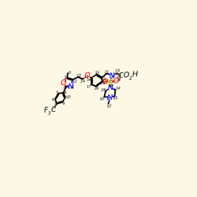 Cc1oc(-c2ccc(C(F)(F)F)cc2)nc1CCOc1cccc(CN(CC(=O)O)S(=O)(=O)N2CCN(C)CC2)c1